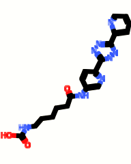 O=C(O)NCCCCCC(=O)Nc1ccc(-c2nnc(-c3ccccn3)nn2)nc1